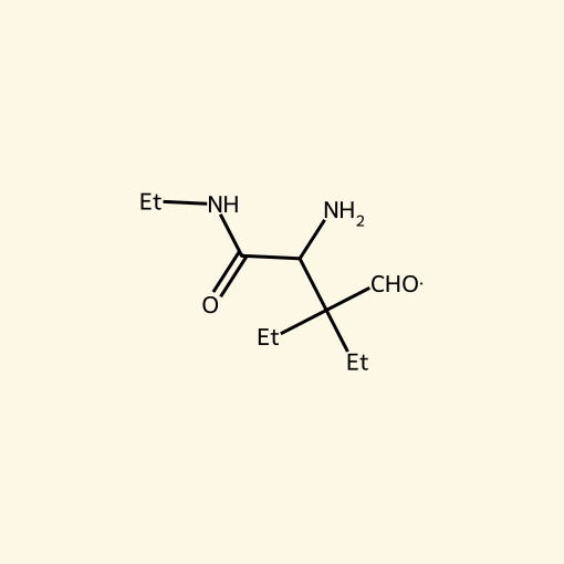 CCNC(=O)C(N)C([C]=O)(CC)CC